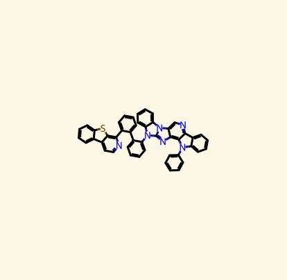 c1ccc(-n2c3ccccc3c3ncc4c(nc5n(-c6ccccc6-c6ccccc6-c6nccc7c6sc6ccccc67)c6ccccc6n45)c32)cc1